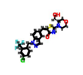 O=C1N=C(N2CCOC[C@H]2CO)SC1=Cc1ccc2c(cnn2Cc2ccc(Cl)cc2C(F)(F)F)c1